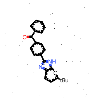 CC(C)(C)c1ccc2nc(-c3ccc(C(=O)c4ccccc4)cc3)[nH]c2c1